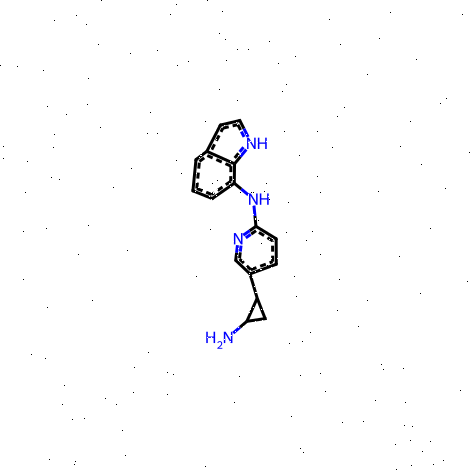 NC1CC1c1ccc(Nc2cccc3cc[nH]c23)nc1